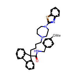 COc1ccc(CNC(=O)C2(CCCCN3CCCN(c4nc5ccccc5s4)CC3)c3ccccc3-c3ccccc32)cc1